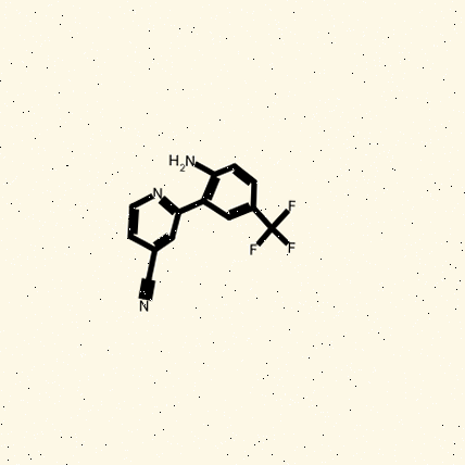 N#Cc1ccnc(-c2cc(C(F)(F)F)ccc2N)c1